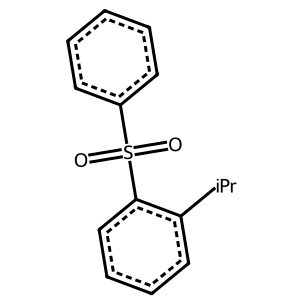 CC(C)c1ccccc1S(=O)(=O)c1ccccc1